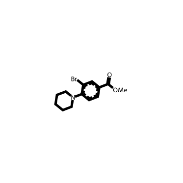 COC(=O)c1ccc(N2CCCCC2)c(Br)c1